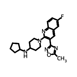 Cc1nc(-c2cc3cc(F)ccc3nc2N2CCC(NC3CCCC3)CC2)no1